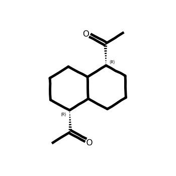 CC(=O)[C@@H]1CCCC2C1CCC[C@H]2C(C)=O